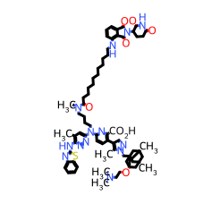 Cc1cc(N(CCCCN(C)C(=O)CCCCCCCCCCCNc2cccc3c2C(=O)N(C2CCC(=O)NC2=O)C3=O)c2ccc(-c3cnn(CC45CC6(C)CC(C)(C4)CC(OCCN(C)C)(C6)C5)c3C)c(C(=O)O)n2)nnc1Nc1nc2ccccc2s1